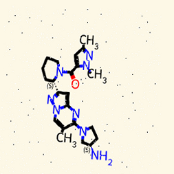 Cc1cc(C(=O)N2CCCC[C@H]2c2cc3nc(N4CC[C@H](N)C4)c(C)cn3n2)n(C)n1